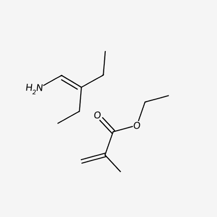 C=C(C)C(=O)OCC.CCC(=CN)CC